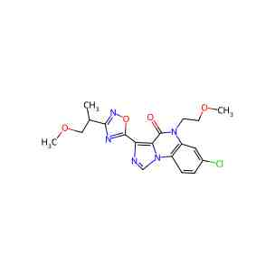 COCCn1c(=O)c2c(-c3nc(C(C)COC)no3)ncn2c2ccc(Cl)cc21